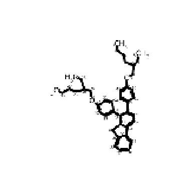 CCCCC(CC)COc1ccc(-c2ccc3c(c2-c2ccc(OCC(CC)CCCC)cc2)Cc2ccccc2-3)cc1